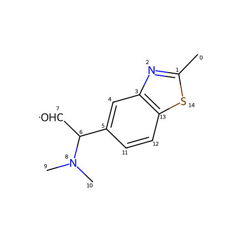 Cc1nc2cc(C([C]=O)N(C)C)ccc2s1